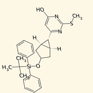 CSc1nc(O)cc([C@H]2[C@@H]3CC(O[Si](c4ccccc4)(c4ccccc4)C(C)(C)C)C[C@@H]32)n1